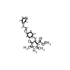 COC(=O)C(Cc1ccc(OCCn2ccnc2)cc1)=C(C(=O)OC)C(C)C